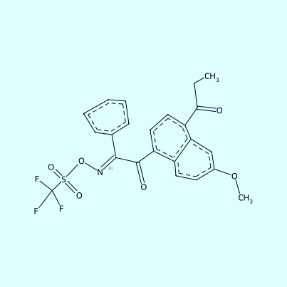 CCC(=O)c1ccc(C(=O)/C(=N/OS(=O)(=O)C(F)(F)F)c2ccccc2)c2ccc(OC)cc12